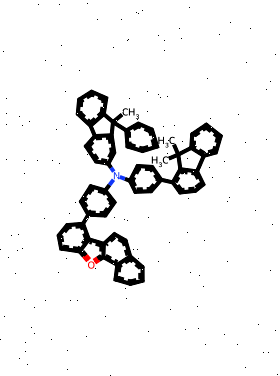 CC1(C)c2ccccc2-c2cccc(-c3ccc(N(c4ccc(-c5cccc6oc7c8ccccc8ccc7c56)cc4)c4ccc5c(c4)C(C)(c4ccccc4)c4ccccc4-5)cc3)c21